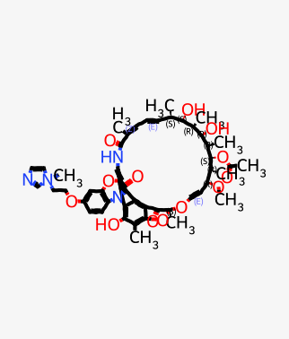 CO[C@H]1/C=C/O[C@@]2(C)Oc3c(C)c(O)c4c(=O)c(c5oc6cc(OCC[N+]7(C)C=CN=C7)ccc6nc-5c4c3C2=O)NC(=O)/C(C)=C\C=C\[C@H](C)[C@H](O)[C@@H](C)[C@@H](O)[C@@H](C)[C@H](OC(C)=O)[C@@H]1C